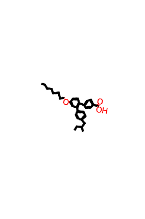 CCCCCCCCOc1ccc(-c2ccc(C(=O)O)cc2)c(-c2ccc(CC(C)CC)cc2)c1